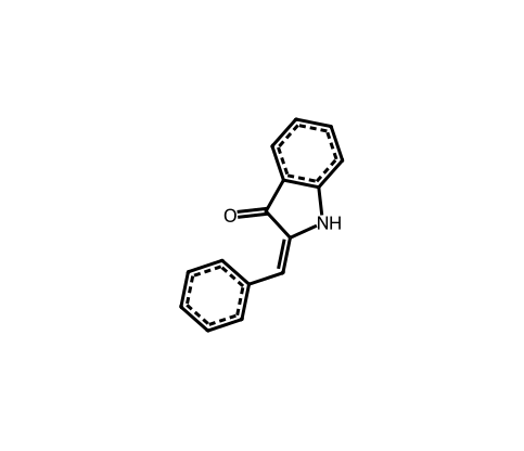 O=C1C(=Cc2ccccc2)Nc2ccccc21